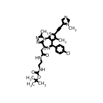 Cc1c(C#Cc2cncn2C)sc2c1C(c1ccc(Cl)cc1)=N[C@@H](CC(=O)NCCNC(=O)OC(C)(C)C)c1nnc(C)n1-2